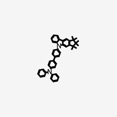 CC1(C)c2cc3c4ccccc4n(-c4ccc(-c5ccc(N(c6ccccc6)c6ccccc6)cc5)cc4)c3cc2C(C)(C)C1(C)C